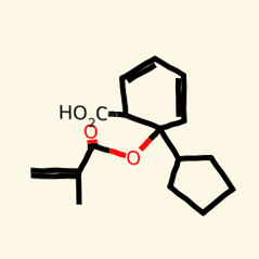 C=C(C)C(=O)OC1(C2CCCC2)C=CC=CC1C(=O)O